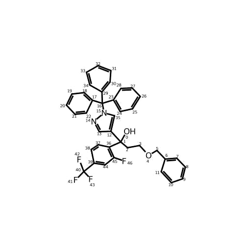 OC(CCOCc1ccccc1)(c1cnn(C(c2ccccc2)(c2ccccc2)c2ccccc2)c1)c1ccc(C(F)(F)F)cc1F